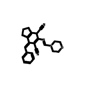 N#CC1=C(/N=C/N2CCOCC2)C(C#N)C2=C(CCC2)/C1=C/c1ccccc1